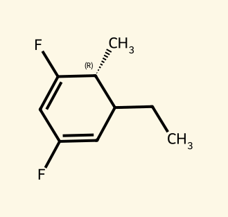 CCC1C=C(F)C=C(F)[C@@H]1C